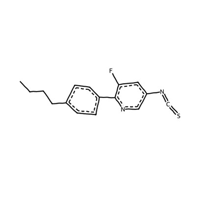 CCCCc1ccc(-c2ncc(N=C=S)cc2F)cc1